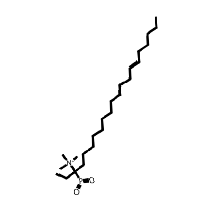 CCCCCC=CCCCCCCCCCCCC(CC)(P(=O)=O)[N+](C)(C)C